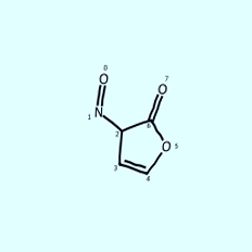 O=NC1C=COC1=O